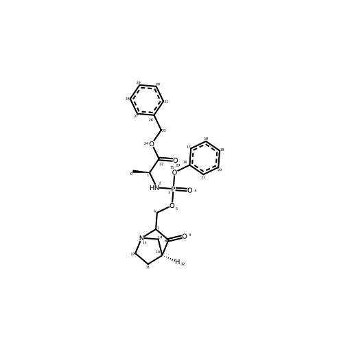 C[C@H](NP(=O)(OCC1C(=O)[C@H]2CCN1C2)Oc1ccccc1)C(=O)OCc1ccccc1